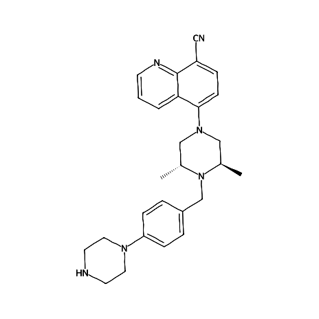 C[C@@H]1CN(c2ccc(C#N)c3ncccc23)C[C@@H](C)N1Cc1ccc(N2CCNCC2)cc1